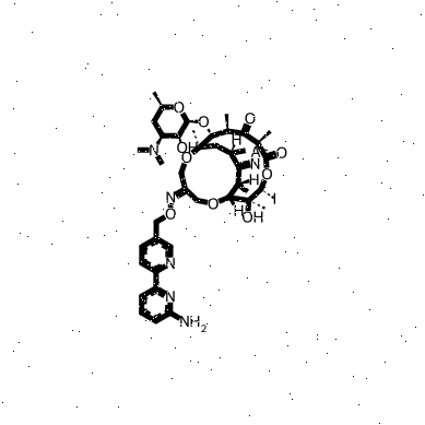 CC(=O)/N=C1\[C@H](C)C[C@@]2(C)OC/C(=N/OCc3ccc(-c4cccc(N)n4)nc3)CO[C@H]([C@H]1C)[C@](C)(O)[C@@H](I)OC(=O)[C@H](C)C(=O)[C@H](C)[C@H]2O[C@@H]1O[C@H](C)C[C@H](N(C)C)[C@H]1O